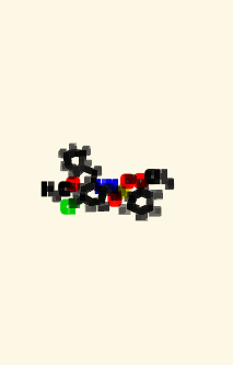 COc1ccccc1Cc1cc(Cl)ccc1NS(=O)(=O)c1ccccc1OC